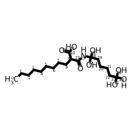 CCCCCCCCCC(C(=O)O)C(=O)NC(O)(O)CCCCC(O)(O)O